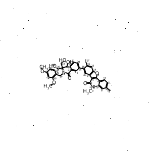 CNC(=O)c1c(-c2ccc(F)cc2)oc2cc(I)c(-c3cccc(C(=O)N(Cc4ccc(OC)cc4OC)C(CO)(CO)CO)c3)cc12